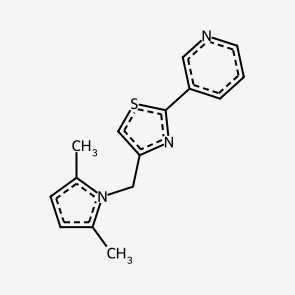 Cc1ccc(C)n1Cc1csc(-c2cccnc2)n1